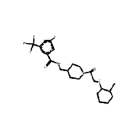 CC1CCCCC1NCC(=O)N1CCC(CNC(=O)c2cc(F)cc(C(F)(F)F)c2)CC1